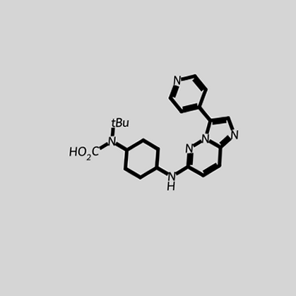 CC(C)(C)N(C(=O)O)C1CCC(Nc2ccc3ncc(-c4ccncc4)n3n2)CC1